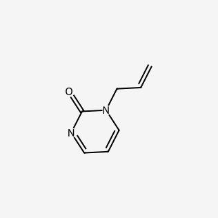 C=CCn1cccnc1=O